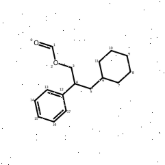 O=COCC([CH]C1CCCCC1)c1ccccc1